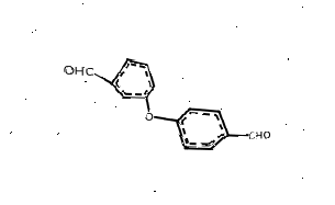 O=Cc1ccc(Oc2cccc(C=O)c2)cc1